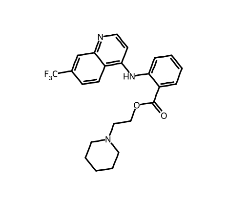 O=C(OCCN1CCCCC1)c1ccccc1Nc1ccnc2cc(C(F)(F)F)ccc12